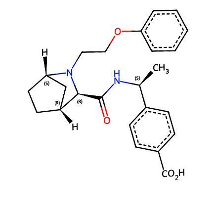 C[C@H](NC(=O)[C@H]1[C@@H]2CC[C@@H](C2)N1CCOc1ccccc1)c1ccc(C(=O)O)cc1